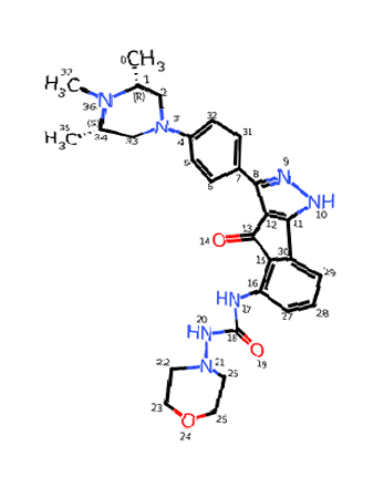 C[C@@H]1CN(c2ccc(-c3n[nH]c4c3C(=O)c3c(NC(=O)NN5CCOCC5)cccc3-4)cc2)C[C@H](C)N1C